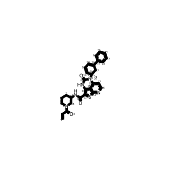 C=CC(=O)N1CCCC(NC(=O)c2sc3nccc4c3c2NC(=O)N4[C@@]2(C)C=CC=C(c3ccccc3)C2)C1